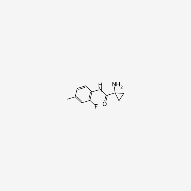 Cc1ccc(NC(=O)C2(N)CC2)c(F)c1